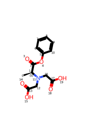 C[C@@H](C(=O)Oc1ccccc1)N(CC(=O)O)CC(=O)O